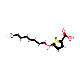 CCCCCCCCOc1ccc(C(=O)O)s1